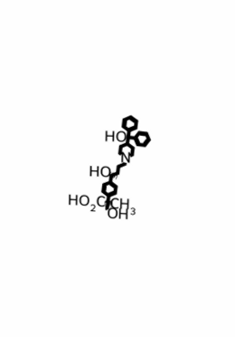 C[C@](CO)(C(=O)O)c1ccc([C@@H](O)CCCN2CCC(C(O)(c3ccccc3)c3ccccc3)CC2)cc1